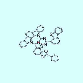 c1ccc(-c2nc3cccc(-c4nc(-c5cccc6c5sc5ccccc56)nc(-n5c6ccccc6c6ccc7c8ccccc8n(-c8ccccc8)c7c65)n4)c3o2)cc1